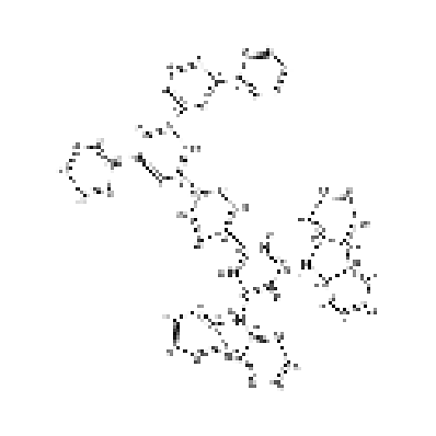 c1ccc(-c2cccc(-c3cc(-c4ccccc4)cc(-c4ccc(-c5nc(-n6c7ccccc7c7ccccc76)nc(-n6c7ccccc7c7ccccc76)n5)cc4)c3)c2)cc1